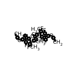 C=Cc1ccc(Oc2ccc(C3(c4ccc(F)cc4)c4ccccc4-c4ccc(N(c5ccc(F)c(C)c5)c5ccc6c(c5)C5(CC6(C)C)CC(C)(C)c6ccc(N(c7ccc(F)c(C)c7)c7ccc8c(c7)C(c7ccc(F)cc7)(c7ccc(Oc9ccc(C=C)cc9)cc7)c7ccccc7-8)cc65)cc43)cc2)cc1